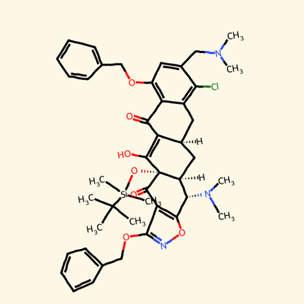 CN(C)Cc1cc(OCc2ccccc2)c2c(c1Cl)C[C@H]1C[C@H]3[C@H](N(C)C)c4onc(OCc5ccccc5)c4C(=O)[C@@]3(O[Si](C)(C)C(C)(C)C)C(O)=C1C2=O